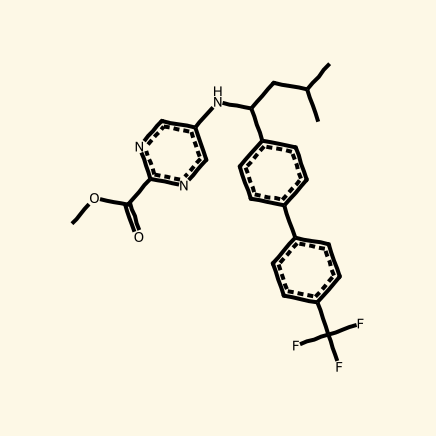 COC(=O)c1ncc(NC(CC(C)C)c2ccc(-c3ccc(C(F)(F)F)cc3)cc2)cn1